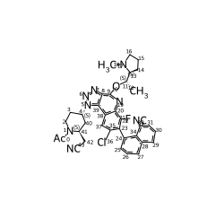 CC(=O)N1CC[C@H](n2nnc3c(O[C@@H](C)[C@@H]4CCCN4C)nc4c(F)c(-c5cccc6cccc(C#N)c56)c(Cl)cc4c32)C[C@H]1CC#N